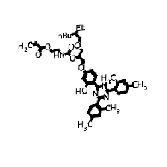 C=CC(=O)OCCNC(=O)OC(COCC(CC)CCCC)COc1ccc(-c2nc(-c3ccc(C)cc3C)nc(-c3ccc(C)cc3C)n2)c(O)c1